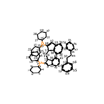 C1=C(P(C2CCCCC2)C2CCCCC2)[CH]([Ti][CH]2C(P(C3CCCCC3)C3CCCCC3)=Cc3ccccc32)c2ccccc21.c1ccc(CCc2ccccc2)cc1